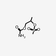 CC(COC(N)=O)OS(C)(=O)=O